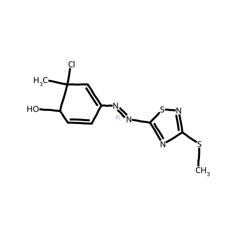 CSc1nsc(/N=N/C2=CC(C)(Cl)C(O)C=C2)n1